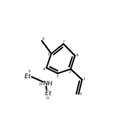 C=Cc1ccc(C)cc1.CCNCC